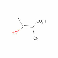 CC(O)=C(C#N)C(=O)O